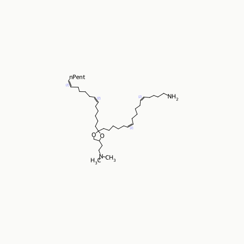 CCCCC/C=C\CCCC/C=C\CCCCCC1(CCCCC/C=C\CCCC/C=C\CCCCN)OCC(CCN(C)C)O1